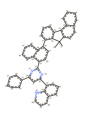 CC1(C)c2ccc3ccccc3c2-c2cccc(-c3ccc(-c4nc(-c5ccccc5)cc(-c5cccc6cccnc56)n4)c4ccccc34)c21